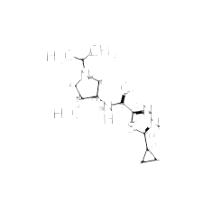 CC(C)N1C[C@@H](C)[C@H](NC(=O)c2nnc(C3CC3)s2)C1